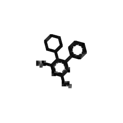 Nc1nc(N)c(C2CCCCC2)c(-c2ccccc2)n1